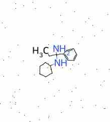 CCC(N)(NC1CCCCC1)c1ccccc1